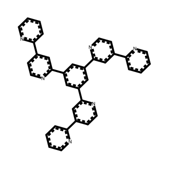 c1ccc(-c2ccnc(-c3cc(-c4cc(-c5ccccn5)ccn4)cc(-c4cc(-c5ccccn5)ccn4)c3)c2)nc1